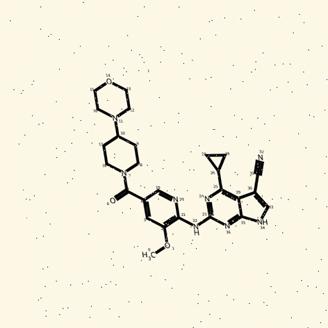 COc1cc(C(=O)N2CCC(N3CCOCC3)CC2)cnc1Nc1nc(C2CC2)c2c(C#N)c[nH]c2n1